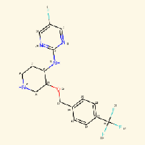 Fc1cnc(NC2CCNCC2OCc2ccc(C(F)(F)F)cc2)nc1